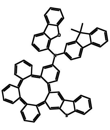 CC1(C)c2ccccc2-c2ccc(N(c3ccc4c(c3)c3ccccc3c3ccccc3c3ccccc3c3cc5sc6ccccc6c5cc43)c3cccc4c3oc3ccccc34)cc21